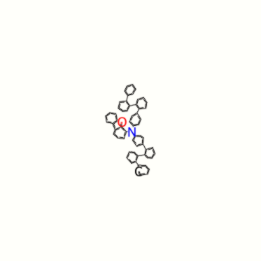 c1ccc(-c2ccccc2-c2ccccc2-c2ccc(N(c3ccc(-c4ccccc4-c4ccccc4-c4ccccc4)cc3)c3cccc4c3oc3ccccc34)cc2)cc1